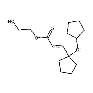 O=C(C=CC1(OC2CCCC2)CCCC1)OCCO